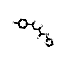 O=C(CC(=O)c1ccc(F)cc1)C(=O)Nc1nccs1